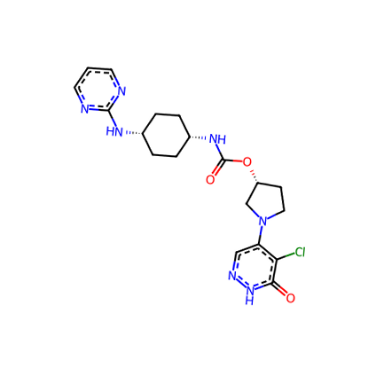 O=C(N[C@H]1CC[C@@H](Nc2ncccn2)CC1)O[C@@H]1CCN(c2cn[nH]c(=O)c2Cl)C1